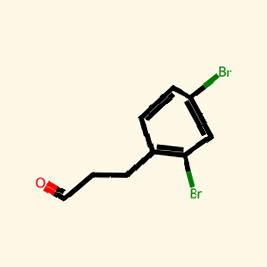 O=CCCc1ccc(Br)cc1Br